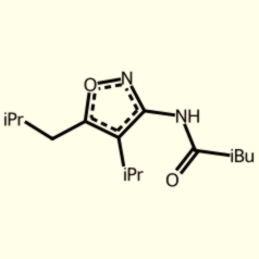 CCC(C)C(=O)Nc1noc(CC(C)C)c1C(C)C